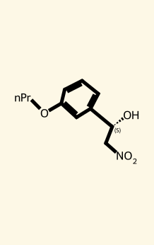 CCCOc1cccc([C@H](O)C[N+](=O)[O-])c1